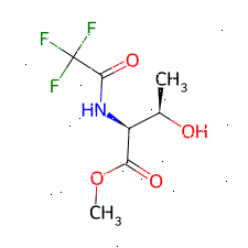 COC(=O)[C@@H](NC(=O)C(F)(F)F)[C@@H](C)O